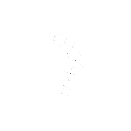 CC1(c2ccc(O)cc2)CCC(C#N)(C(F)(F)C(F)(F)C(F)(F)C(F)(F)C(F)(F)F)CC1